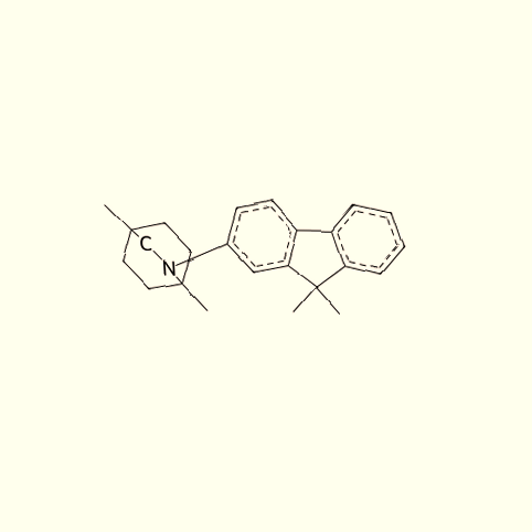 CC12CCC(C)(CC1)N(c1ccc3c(c1)C(C)(C)c1ccccc1-3)C2